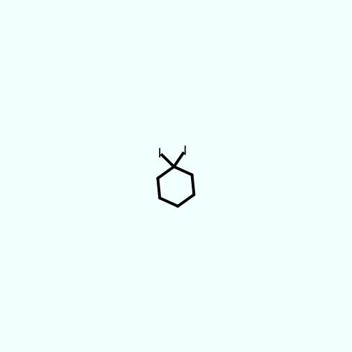 IC1(I)CCCCC1